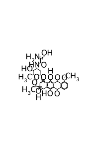 COc1cccc2c1C(=O)c1c(O)c3c(c(O)c1C2=O)C[C@@](O)(C(C)=O)C[C@@H]3OC1CC(NC(=O)[C@@H](N)CO)C(O)C(C)O1